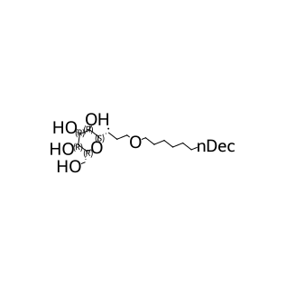 CCCCCCCCCCCCCCCCOCC[CH][C@@H]1O[C@H](CO)[C@H](O)[C@H](O)[C@H]1O